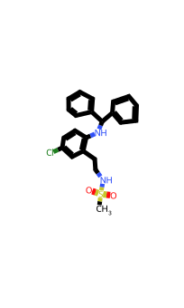 CS(=O)(=O)NCCc1cc(Cl)ccc1NC(c1ccccc1)c1ccccc1